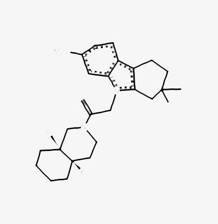 COc1ccc2c3c(n(CC(=O)N4CC[C@@H]5CCCC[C@@H]5C4)c2c1)CC(C)(C)CC3